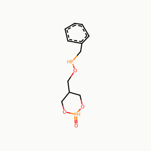 O=[PH]1OCC(COPCc2ccccc2)CO1